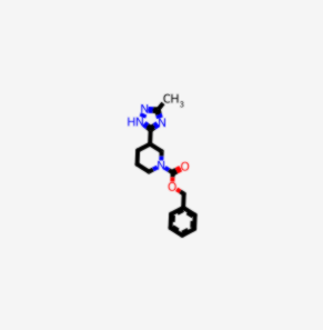 Cc1n[nH]c(C2CCCN(C(=O)OCc3ccccc3)C2)n1